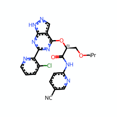 CC(C)OC[C@H](Oc1nc(-c2ncccc2Cl)nc2[nH]ncc12)C(=O)Nc1ccc(C#N)cn1